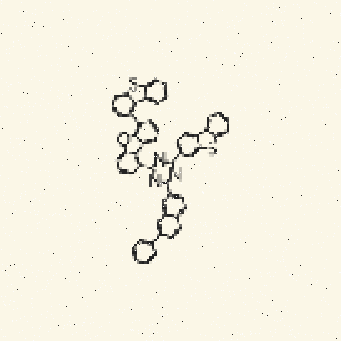 c1ccc(-c2ccc3ccc(-c4nc(-c5ccc6c(c5)sc5ccccc56)nc(-c5cccc6oc7c(-c8cccc9sc%10ccccc%10c89)cccc7c56)n4)cc3c2)cc1